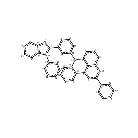 c1ccc(-c2cc3c4c(cccc4n2)N(c2cccc(-c4nc5ccccc5n4-c4ccccc4)c2)c2ccccc2-3)cc1